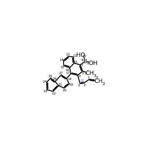 C=C/C=C\c1c(C)c(B(O)O)c2ccccc2c1-c1ccc2ccccc2c1